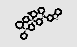 C1=CCC=CC(N(c2ccccc2)c2cccc([Si](C3=CC=CC4CC34)(c3ccccc3)c3cccc(N(c4ccccc4)c4ccc5oc6ccccc6c5c4)c3)c2)=C1